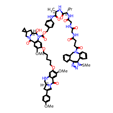 COc1ccc(C2=CN3C(=O)c4cc(OC)c(OCCCCCOc5cc6c(cc5OC)C(=O)N5CC7(CC7)C[C@H]5C(O)N6C(=O)OCc5ccc(NC(=O)[C@H](C)NC(=O)[C@@H](NC(=O)CNC(=O)CNC(=O)CCC(=O)N6Cc7ccccc7-c7nnn(SC)c7-c7ccccc76)C(C)C)cc5)cc4NC[C@@H]3C2)cc1